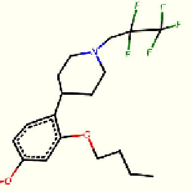 CCCCOc1cc(OC)ccc1C1CCN(CC(F)(F)C(F)(F)F)CC1